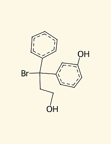 OCCC(Br)(c1ccccc1)c1cccc(O)c1